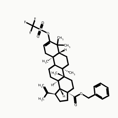 C=C(C)[C@@H]1CC[C@]2(C(=O)OCc3ccccc3)CC[C@]3(C)[C@H](CCC4[C@@]5(C)CC=C(OS(=O)(=O)C(F)(F)F)C(C)(C)[C@@H]5CC[C@]43C)[C@@H]12